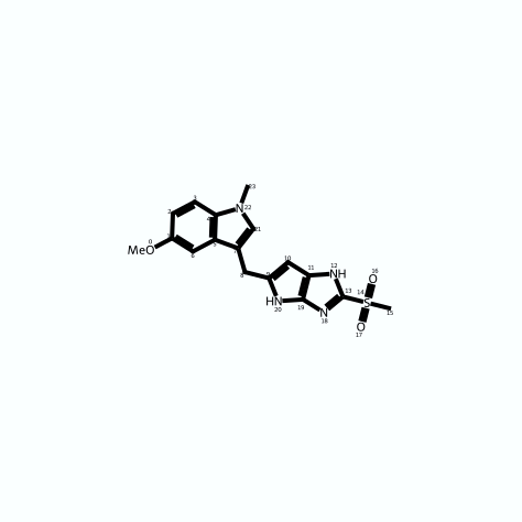 COc1ccc2c(c1)c(Cc1cc3[nH]c(S(C)(=O)=O)nc3[nH]1)cn2C